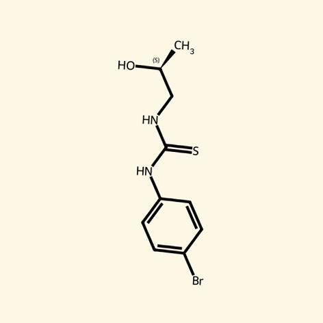 C[C@H](O)CNC(=S)Nc1ccc(Br)cc1